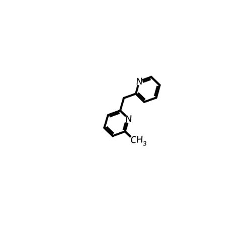 Cc1cccc(Cc2ccccn2)n1